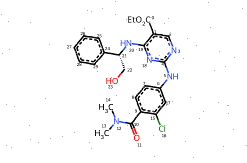 CCOC(=O)c1cnc(Nc2ccc(C(=O)N(C)C)c(Cl)c2)nc1N[C@H](CO)c1ccccc1